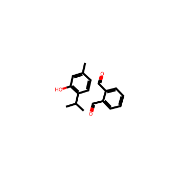 Cc1ccc(C(C)C)c(O)c1.O=Cc1ccccc1C=O